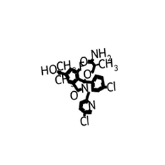 C[C@@H](CO[C@]1(c2ccc(Cl)cc2)c2c(F)cc(C(C)(C)O)cc2C(=O)N1Cc1ccc(Cl)cn1)C(N)=O